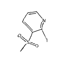 CS(=O)(=O)c1cccnc1I